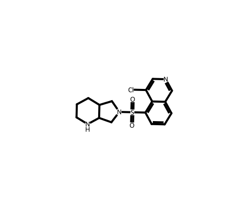 O=S(=O)(c1cccc2cncc(Cl)c12)N1CC2CCCNC2C1